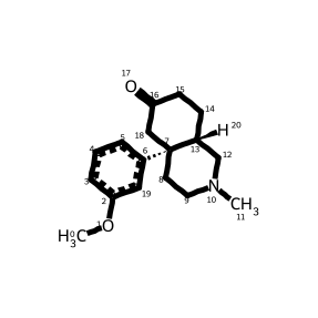 COc1cccc([C@@]23CCN(C)C[C@H]2CCC(=O)C3)c1